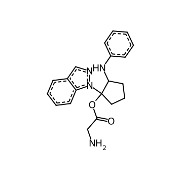 NCC(=O)OC1(n2ncc3ccccc32)CCCC1Nc1ccccc1